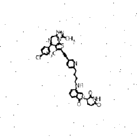 Cc1c(C#CC2=CCC(CCCCNc3cccc4c3CN(C3CCC(=O)NC3=O)C4=O)N=C2)sc2c1C(c1ccc(Cl)cc1)=NCc1nnc(C)n1-2